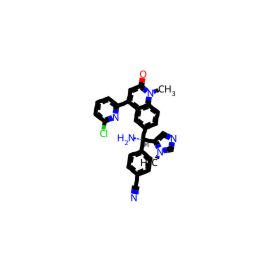 Cn1cncc1[C@@](N)(c1ccc(C#N)cc1)c1ccc2c(c1)c(-c1cccc(Cl)n1)cc(=O)n2C